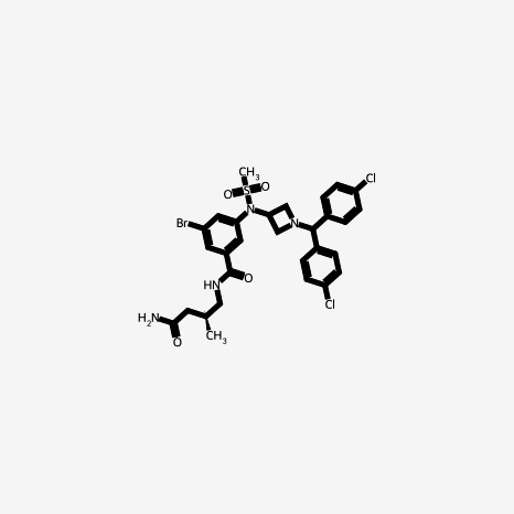 C[C@H](CNC(=O)c1cc(Br)cc(N(C2CN(C(c3ccc(Cl)cc3)c3ccc(Cl)cc3)C2)S(C)(=O)=O)c1)CC(N)=O